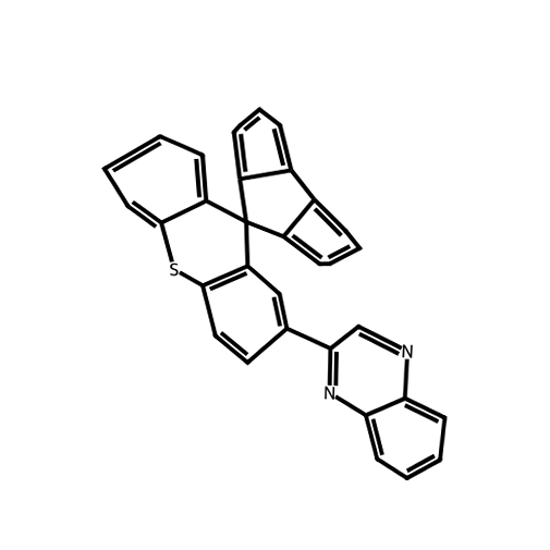 c1ccc2c(c1)Sc1ccc(-c3cnc4ccccc4n3)cc1C21c2ccccc2-c2ccccc21